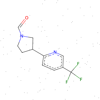 O=CN1CCC(c2ccc(C(F)(F)F)cn2)C1